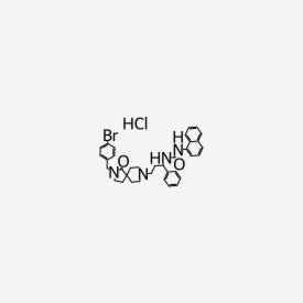 Cl.O=C(Nc1cccc2ccccc12)NC(CCN1CCC2(CC1)CCN(Cc1ccc(Br)cc1)C2=O)c1ccccc1